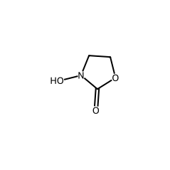 O=C1OCCN1O